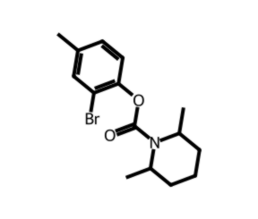 Cc1ccc(OC(=O)N2C(C)CCCC2C)c(Br)c1